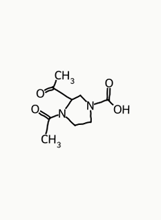 CC(=O)C1CN(C(=O)O)CCN1C(C)=O